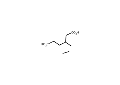 CC.CC(CCC(=O)O)CC(=O)O